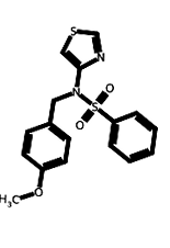 COc1ccc(CN(c2cscn2)S(=O)(=O)c2ccccc2)cc1